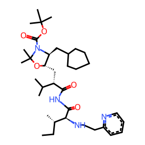 CC[C@H](C)[C@H](NCCc1ccccn1)C(=O)NC(=O)[C@@H](C[C@@H]1OC(C)(C)N(C(=O)OC(C)(C)C)[C@H]1CC1CCCCC1)C(C)C